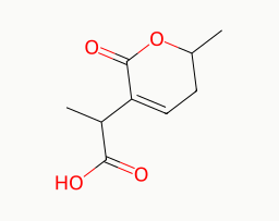 CC1CC=C(C(C)C(=O)O)C(=O)O1